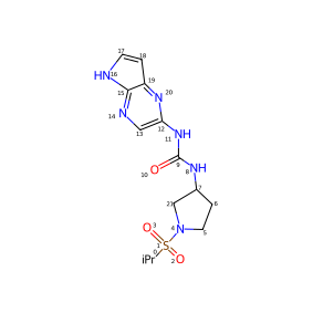 CC(C)S(=O)(=O)N1CCC(NC(=O)Nc2cnc3[nH]ccc3n2)C1